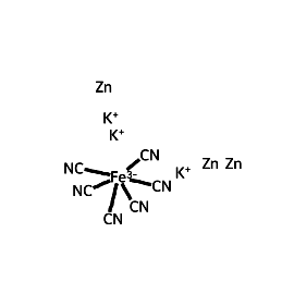 N#[C][Fe-3]([C]#N)([C]#N)([C]#N)([C]#N)[C]#N.[K+].[K+].[K+].[Zn].[Zn].[Zn]